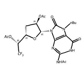 CCCCn1c(=O)n([C@@H]2O[C@H]([C@@H](OC(C)=O)C(F)(F)F)C[C@H]2OC(C)=O)c2nc(NC(C)=O)[nH]c(=O)c21